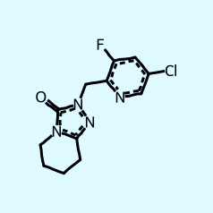 O=c1n(Cc2ncc(Cl)cc2F)nc2n1CCCC2